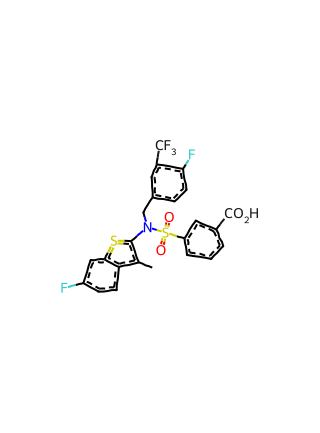 Cc1c(N(Cc2ccc(F)c(C(F)(F)F)c2)S(=O)(=O)c2cccc(C(=O)O)c2)sc2cc(F)ccc12